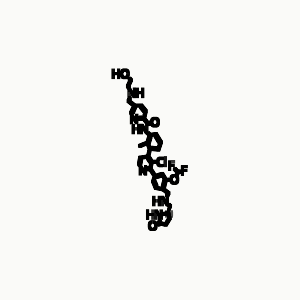 Cc1c(NC(=O)c2ccc(CNCCO)cn2)cccc1-c1ccnc(-c2ccc(CNC[C@H]3CCC(=O)N3)c(OC(F)F)c2)c1Cl